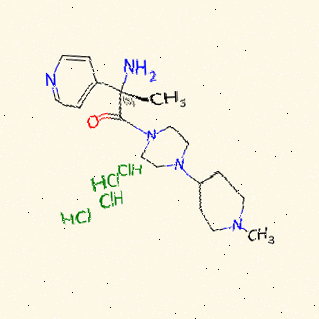 CN1CCC(N2CCN(C(=O)[C@@](C)(N)c3ccncc3)CC2)CC1.Cl.Cl.Cl.Cl